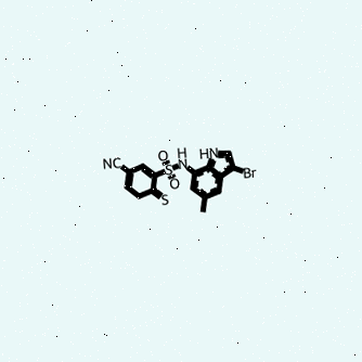 Cc1cc(NS(=O)(=O)C2=CC(C#N)=CCC2=S)c2[nH]cc(Br)c2c1